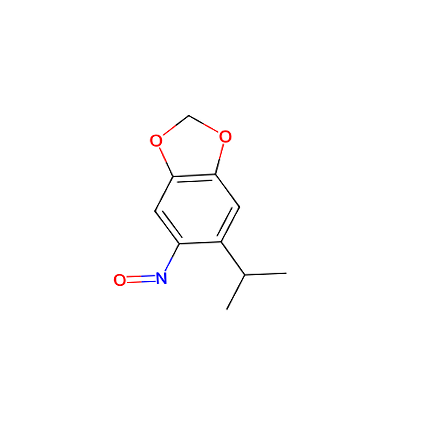 CC(C)c1cc2c(cc1N=O)OCO2